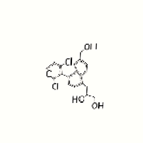 OCc1ccc2c(CC(O)CO)ccc(-c3c(Cl)cccc3Cl)c2c1